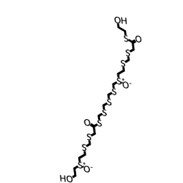 O=C(CSCSCC[S+]([O-])CSCSCSCSC(=O)CSCSCC[S+]([O-])CCO)SCCO